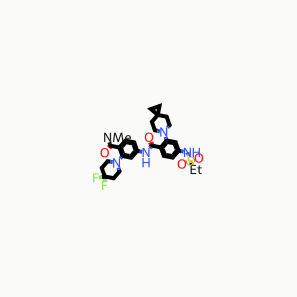 CCS(=O)(=O)Nc1ccc(C(=O)Nc2ccc(C(=O)NC)c(N3CCC(F)(F)CC3)c2)c(N2CCC3(CC2)CC3)c1